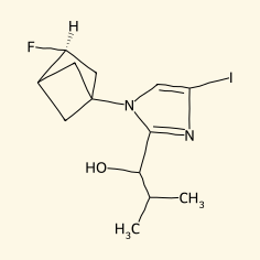 CC(C)C(O)c1nc(I)cn1C12CC(C1)[C@@H](F)C2